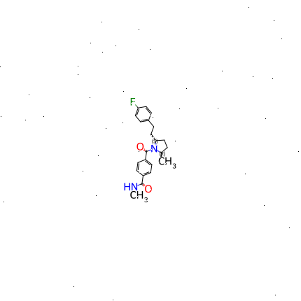 CNC(=O)c1ccc(C(=O)N2[C@@H](CCc3ccc(F)cc3)CC[C@H]2C)cc1